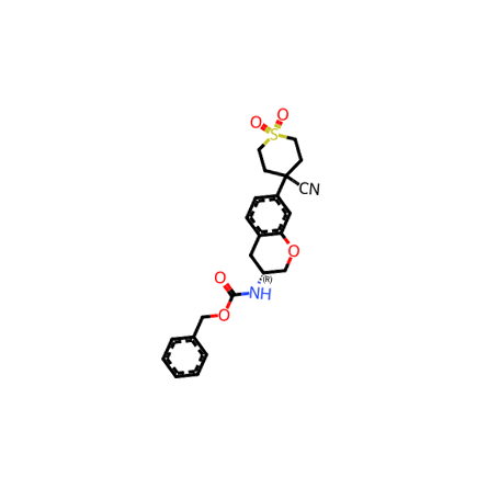 N#CC1(c2ccc3c(c2)OC[C@H](NC(=O)OCc2ccccc2)C3)CCS(=O)(=O)CC1